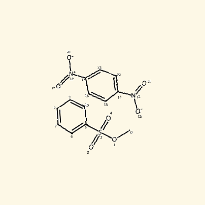 COS(=O)(=O)c1ccccc1.O=[N+]([O-])c1ccc([N+](=O)[O-])cc1